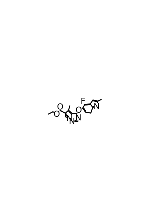 CCOC(=O)c1cn2ncnc(OC3=CCC4=NC(C)=CC4=C3F)c2c1C